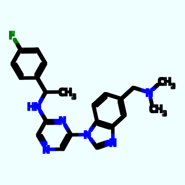 CC(Nc1cncc(-n2cnc3cc(CN(C)C)ccc32)n1)c1ccc(F)cc1